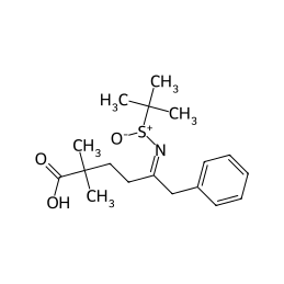 CC(C)(CCC(Cc1ccccc1)=N[S+]([O-])C(C)(C)C)C(=O)O